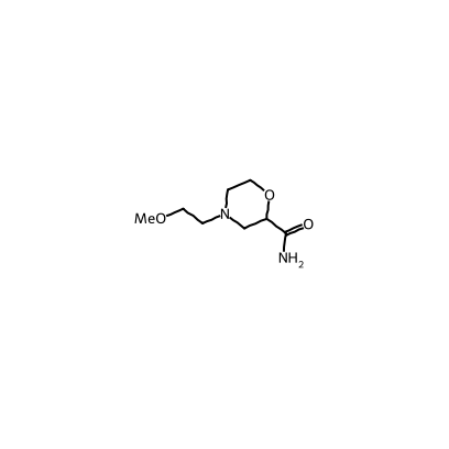 COCCN1CCOC(C(N)=O)C1